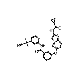 CC(C)(C#N)c1cccc(NC(=O)c2cccc(Oc3ccc4nc(NC(=O)C5CC5)cn4n3)c2)c1